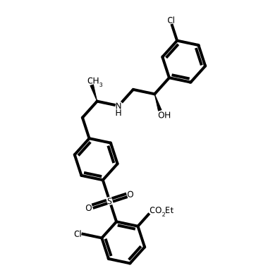 CCOC(=O)c1cccc(Cl)c1S(=O)(=O)c1ccc(C[C@@H](C)NC[C@H](O)c2cccc(Cl)c2)cc1